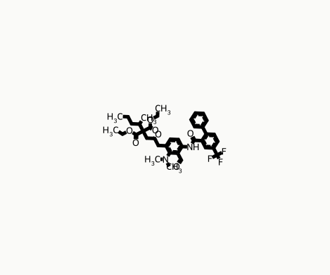 CCCC(C)C(CC(=O)Cc1ccc(NC(=O)c2cc(C(F)(F)F)ccc2-c2ccccc2)c(C=O)c1N(C)C)(C(=O)OCC)C(=O)OCC